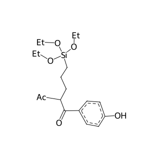 CCO[Si](CCCC(C(C)=O)C(=O)c1ccc(O)cc1)(OCC)OCC